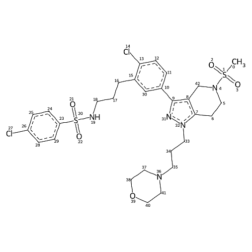 CS(=O)(=O)N1CCc2c(c(-c3ccc(Cl)c(CCCNS(=O)(=O)c4ccc(Cl)cc4)c3)nn2CCCN2CCOCC2)C1